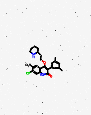 Cc1cc(C)cc(-c2c(OCCC3CCCCN3)c3cc([N+](=O)[O-])c(Cl)cc3[nH]c2=O)c1